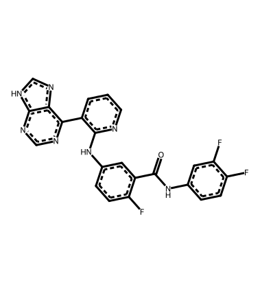 O=C(Nc1ccc(F)c(F)c1)c1cc(Nc2ncccc2-c2ncnc3[nH]cnc23)ccc1F